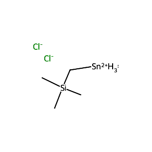 C[Si](C)(C)[CH2][SnH3+2].[Cl-].[Cl-]